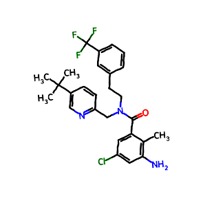 Cc1c(N)cc(Cl)cc1C(=O)N(CCc1cccc(C(F)(F)F)c1)Cc1ccc(C(C)(C)C)cn1